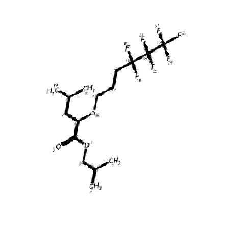 CC(C)COC(=O)C(CC(C)C)SCCCC(F)(F)C(F)(F)C(F)(F)F